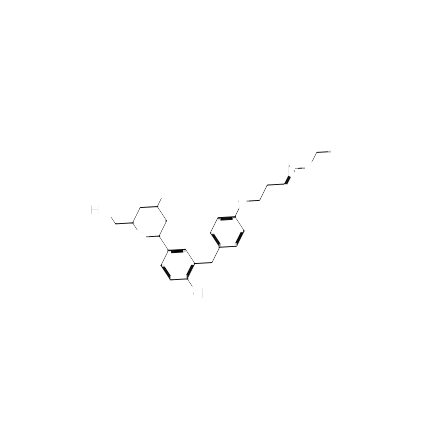 CCO/N=C/CCOc1ccc(Cc2cc(C3CC(O)CC(CO)O3)ccc2Cl)cc1